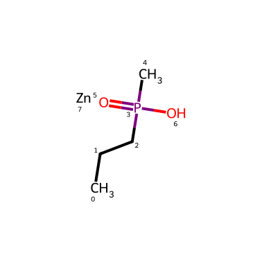 CCCP(C)(=O)O.[Zn]